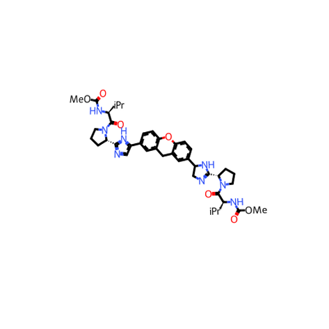 COC(=O)N[C@H](C(=O)N1CCC[C@H]1C1=NCC(c2ccc3c(c2)Cc2cc(-c4cnc([C@@H]5CCCN5C(=O)[C@@H](NC(=O)OC)C(C)C)[nH]4)ccc2O3)N1)C(C)C